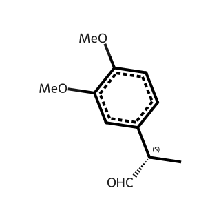 COc1ccc([C@H](C)C=O)cc1OC